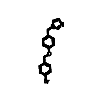 Brc1ccc(COc2ccc(Cn3ccnc3)cc2)cc1